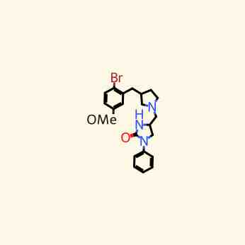 COc1ccc(Br)c(CC2CCN(CC3CN(c4ccccc4)C(=O)N3)C2)c1